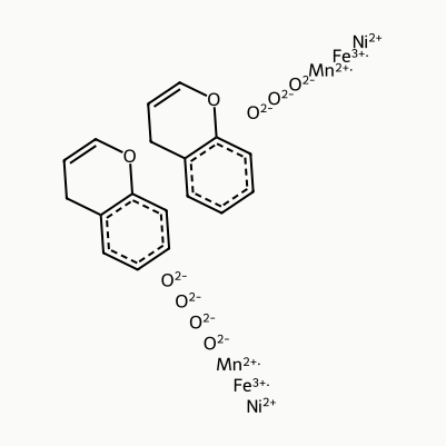 C1=COc2ccccc2C1.C1=COc2ccccc2C1.[Fe+3].[Fe+3].[Mn+2].[Mn+2].[Ni+2].[Ni+2].[O-2].[O-2].[O-2].[O-2].[O-2].[O-2].[O-2]